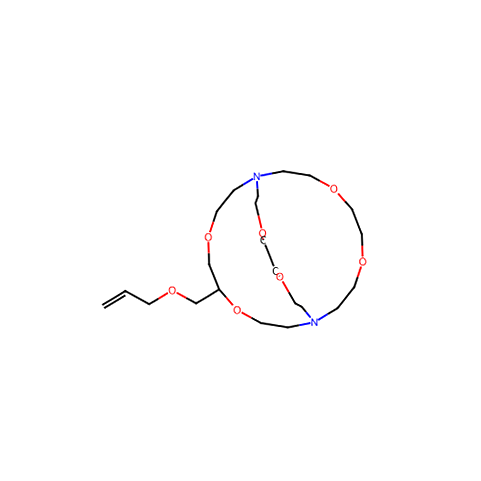 C=CCOCC1COCCN2CCOCCOCCN(CCOCCOCC2)CCO1